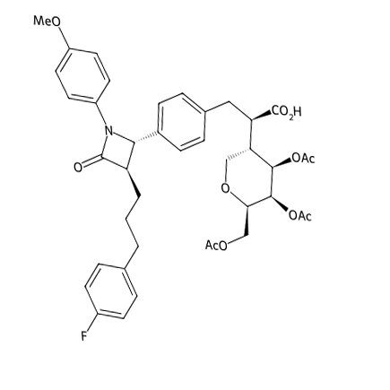 COc1ccc(N2C(=O)[C@H](CCCc3ccc(F)cc3)[C@H]2c2ccc(C[C@@H](C(=O)O)[C@H]3CO[C@H](COC(C)=O)[C@H](OC(C)=O)[C@@H]3OC(C)=O)cc2)cc1